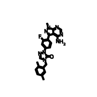 Cc1ccc(C)c(Cn2cnn(-c3ccc(-c4nn(C)c5ncnc(N)c45)c(F)c3)c2=O)c1